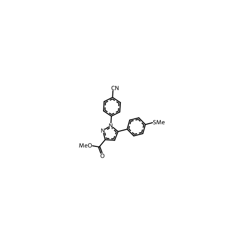 COC(=O)c1cc(-c2ccc(SC)cc2)n(-c2ccc(C#N)cc2)n1